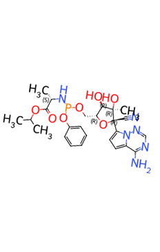 CC(C)OC(=O)[C@H](C)NP(OC[C@H]1O[C@@](C#N)(c2ccc3c(N)ncnn23)[C@](C)(O)[C@@H]1O)Oc1ccccc1